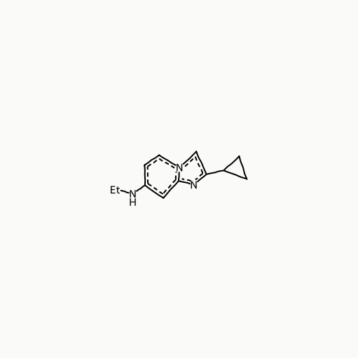 CCNc1ccn2cc(C3CC3)nc2c1